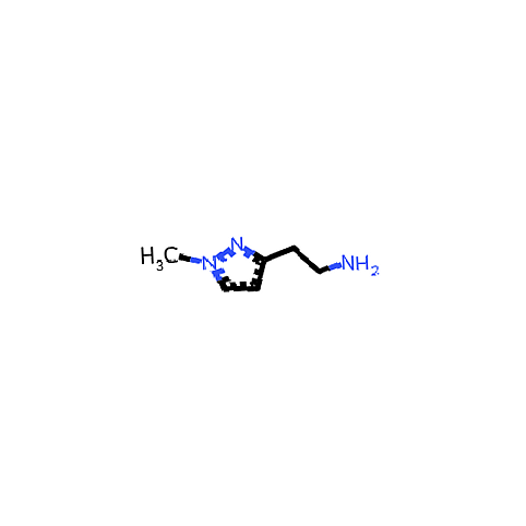 Cn1ccc(CCN)n1